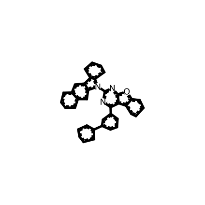 c1ccc(-c2cccc(-c3nc(-n4c5ccccc5c5cc6ccccc6cc54)nc4oc5ccccc5c34)c2)cc1